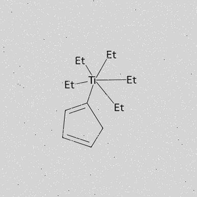 C[CH2][Ti]([CH2]C)([CH2]C)([CH2]C)([CH2]C)[C]1=CC=CC1